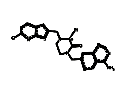 CC[C@H]1C(=O)N(Cc2ccc3c(N)ncnc3c2)CCN1Cc1cc2ccc(Cl)nc2s1